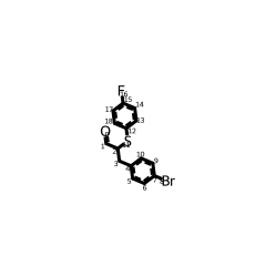 O=CC(Cc1ccc(Br)cc1)Sc1ccc(F)cc1